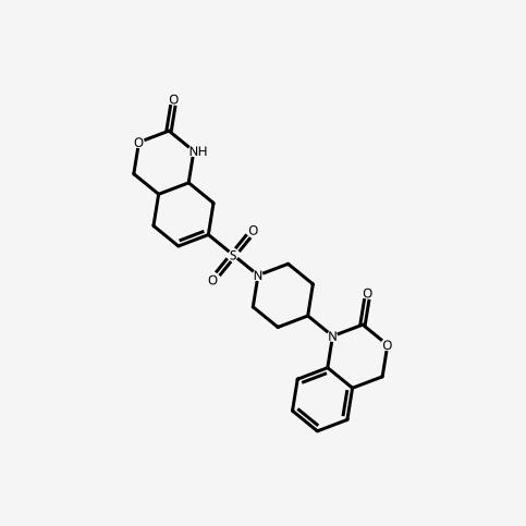 O=C1NC2CC(S(=O)(=O)N3CCC(N4C(=O)OCc5ccccc54)CC3)=CCC2CO1